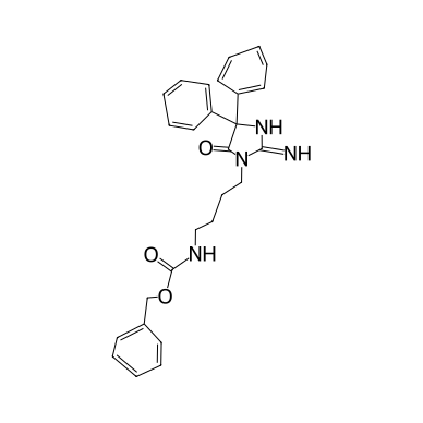 N=C1NC(c2ccccc2)(c2ccccc2)C(=O)N1CCCCNC(=O)OCc1ccccc1